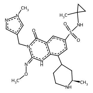 CO/N=c1\[nH]c2c(C3CCN[C@H](C)C3)cc(S(=O)(=O)NC3(C)CC3)cc2c(=O)n1Cc1cnn(C)c1